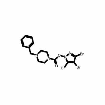 O=C(On1nc(Br)c(Br)c1Br)N1CCN(Cc2ccccc2)CC1